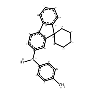 Cc1ccc(N(c2ccc3c(c2)C2(CCCCC2)c2ccccc2-3)C(C)C)cc1